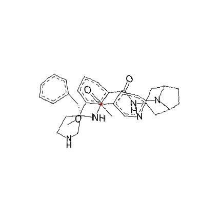 COc1cccc(C(=O)NC2CC3CCC(C2)N3c2ccc(C(=O)N[C@]3(Cc4ccccc4)CCNC3)cn2)c1C